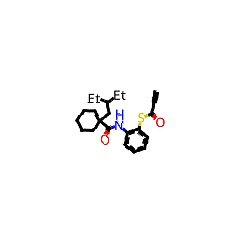 C#CC(=O)Sc1ccccc1NC(=O)C1(CC(CC)CC)CCCCC1